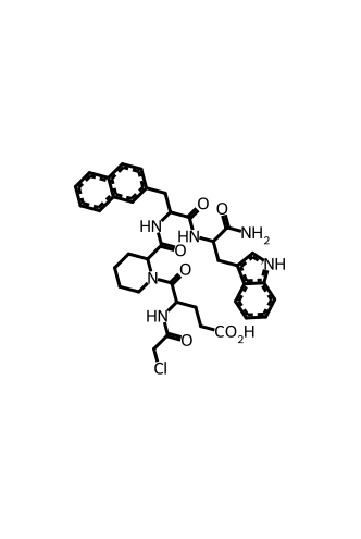 NC(=O)C(Cc1c[nH]c2ccccc12)NC(=O)C(Cc1ccc2ccccc2c1)NC(=O)C1CCCCN1C(=O)C(CCC(=O)O)NC(=O)CCl